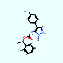 C[C@@H](OC(=O)Nc1c(-c2ccc([N+](=O)[O-])cc2)cnn1C)c1ccccc1Cl